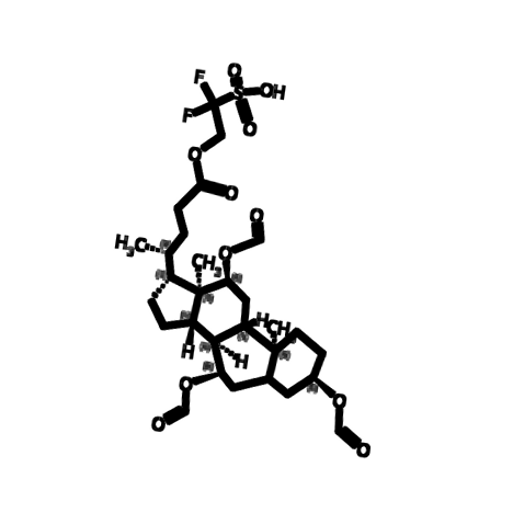 C[C@H](CCC(=O)OCC(F)(F)S(=O)(=O)O)[C@H]1CC[C@H]2[C@@H]3[C@H](OC=O)CC4C[C@H](OC=O)CC[C@]4(C)[C@H]3C[C@H](OC=O)[C@]12C